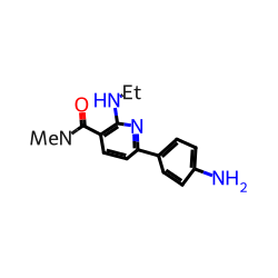 CCNc1nc(-c2ccc(N)cc2)ccc1C(=O)NC